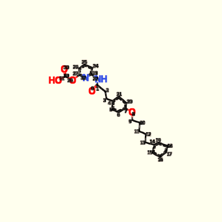 O=C(CCc1ccc(OCCCCCc2ccccc2)cc1)Nc1cccc(OC(=O)O)n1